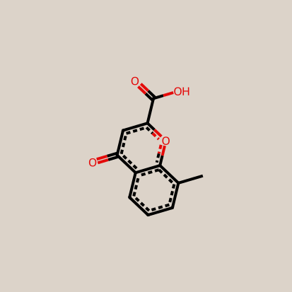 Cc1cccc2c(=O)cc(C(=O)O)oc12